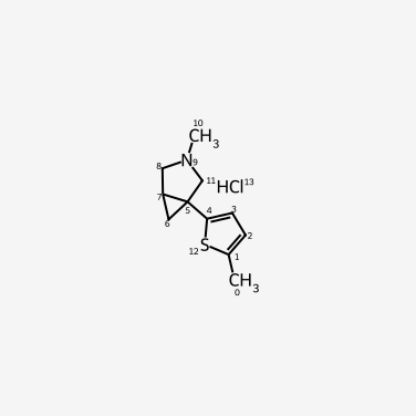 Cc1ccc(C23CC2CN(C)C3)s1.Cl